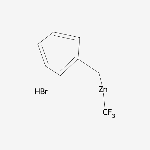 Br.F[C](F)(F)[Zn][CH2]c1ccccc1